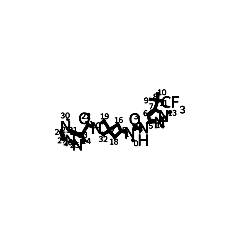 CN(C(=O)Nc1cc(C(C)(C)C(F)(F)F)n(C)n1)C1CC2(C1)CN(C(=O)c1cnn3ccn(C)c13)C2